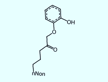 CCCCCCCCCCCCC(=O)COc1ccccc1O